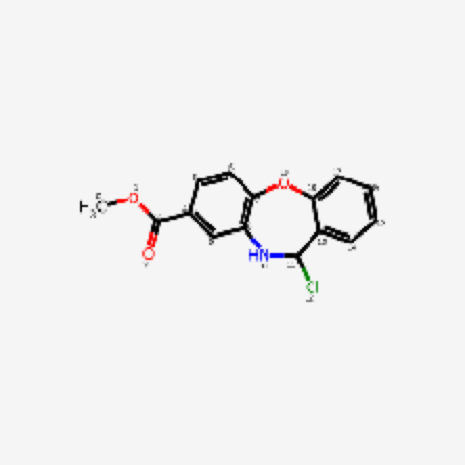 COC(=O)c1ccc2c(c1)NC(Cl)c1ccccc1O2